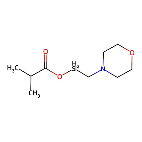 CC(C)C(=O)O[SiH2]CN1CCOCC1